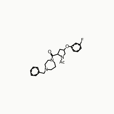 CC(=O)N1CC(Oc2cccc(F)c2)CC1C(=O)N1CCCN(Cc2ccccc2)CC1